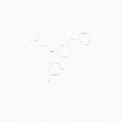 CC(=O)OCC[C@H]1CN(Cc2ccccc2)CCN1c1ncc(C(F)(F)F)c(C(F)F)c1Cl